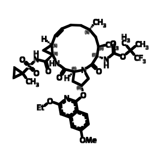 CCOc1cc2cc(OC)ccc2c(O[C@@H]2C[C@H]3C(=O)N[C@]4(C(=O)NS(=O)(=O)C5(C)CC5)C[C@H]4C=CCC[C@H](C)C[C@@H](C)[C@H](NC(=O)OC(C)(C)C(F)(F)F)C(=O)N3C2)n1